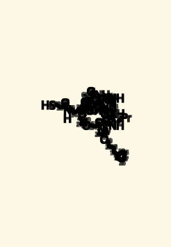 CC(C)C[C@H](NC(=O)[C@@H]1C[C@@H](OCCCCc2ccccc2)CN1C(=O)CCOC(C)(C)COC(C)CCNC(=O)CCS)C(=O)N[C@@H](Cc1cnc[nH]1)C(=O)N[C@@H](CO)C(=O)N[C@H](C(N)=O)[C@@H](C)OP(=O)(O)O